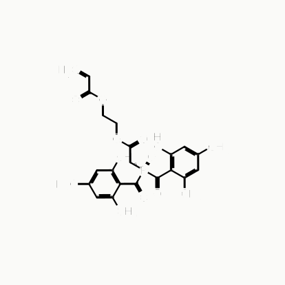 C=CC(=O)OCCOC(=O)CP(=O)(C(=O)c1c(C)cc(C)cc1C)C(=O)c1c(C)cc(C)cc1C